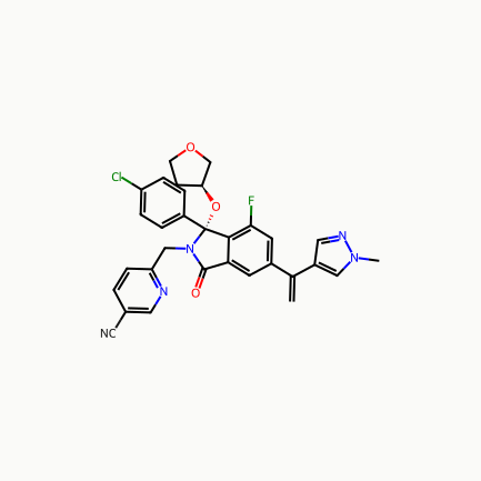 C=C(c1cc(F)c2c(c1)C(=O)N(Cc1ccc(C#N)cn1)[C@@]2(O[C@H]1CCOC1)c1ccc(Cl)cc1)c1cnn(C)c1